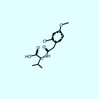 COc1ccc(CC(=O)N[C@H](C(=O)O)C(C)C)c(Cl)c1